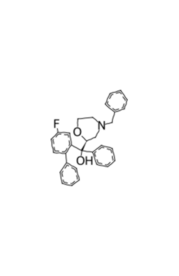 OC(c1ccccc1)(c1cc(F)ccc1-c1ccccc1)[C@@H]1CN(Cc2ccccc2)CCO1